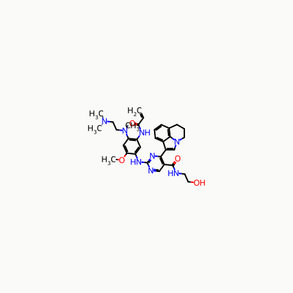 C=CC(=O)Nc1cc(Nc2ncc(C(=O)NCCO)c(-c3cn4c5c(cccc35)CCC4)n2)c(OC)cc1N(C)CCN(C)C